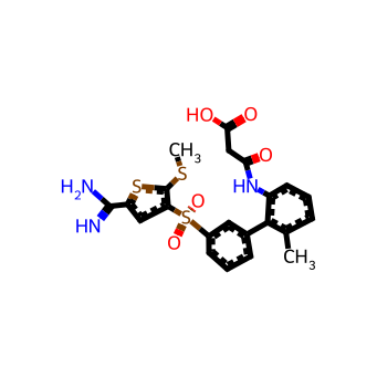 CSc1sc(C(=N)N)cc1S(=O)(=O)c1cccc(-c2c(C)cccc2NC(=O)CC(=O)O)c1